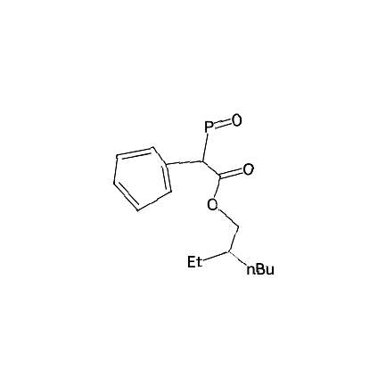 CCCCC(CC)COC(=O)C(P=O)c1ccccc1